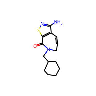 Nc1nsc2c1C=CCN(CC1CCCCC1)C2=O